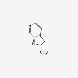 O=C(O)C1CN2C=CN=CC2=N1